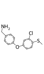 CSc1ccc(Oc2ccc(CN)cc2)cc1Cl